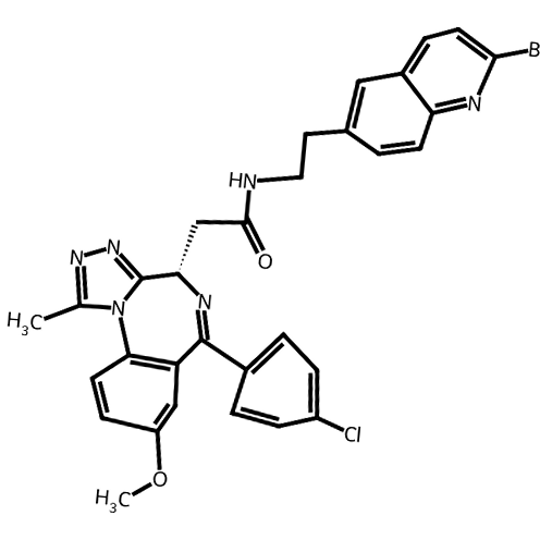 COc1ccc2c(c1)C(c1ccc(Cl)cc1)=N[C@@H](CC(=O)NCCc1ccc3nc(Br)ccc3c1)c1nnc(C)n1-2